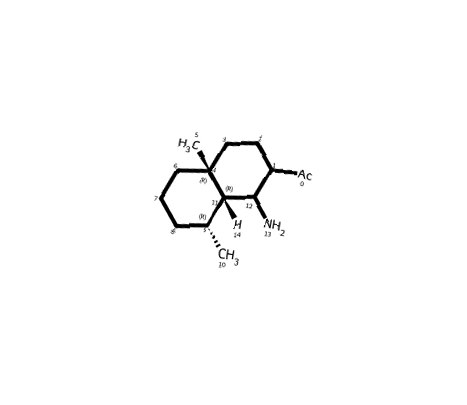 CC(=O)C1CC[C@@]2(C)CCC[C@@H](C)[C@H]2C1N